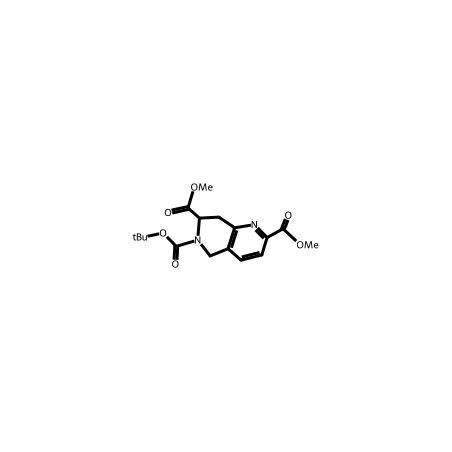 COC(=O)c1ccc2c(n1)CC(C(=O)OC)N(C(=O)OC(C)(C)C)C2